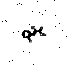 CCc1ccccc1/C=C(\C#N)C(=O)OCC(C)C